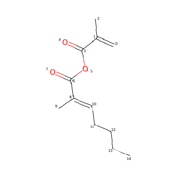 C=C(C)C(=O)OC(=O)C(C)=CCCCC